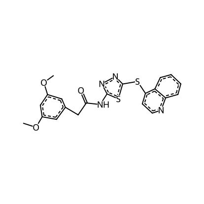 COc1cc(CC(=O)Nc2nnc(Sc3ccnc4ccccc34)s2)cc(OC)c1